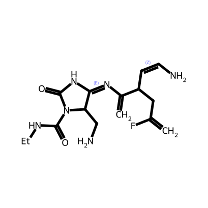 C=C(F)CC(/C=C\N)C(=C)/N=C1/NC(=O)N(C(=O)NCC)C1CN